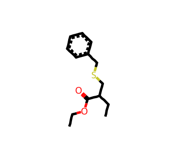 CCOC(=O)C(CC)CSCc1ccccc1